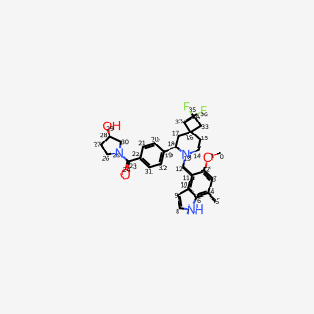 COc1cc(C)c2[nH]ccc2c1CN1CCC2(C[C@@H]1c1ccc(C(=O)N3CC[C@@H](O)C3)cc1)CC(F)(F)C2